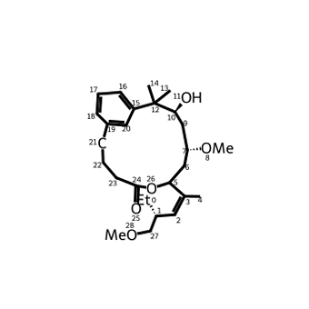 CC[C@H](/C=C(/C)C1C[C@@H](OC)C[C@H](O)C(C)(C)c2cccc(c2)CCCC(=O)O1)COC